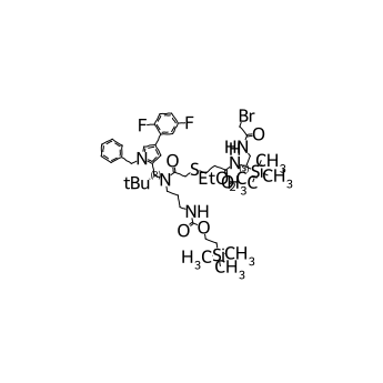 CCOC(=O)[C@@](CNC(=O)CBr)(NC(=O)CCSCC(=O)N(CCCNC(=O)OCC[Si](C)(C)C)[C@@H](c1cc(-c2cc(F)ccc2F)cn1Cc1ccccc1)C(C)(C)C)[Si](C)(C)C